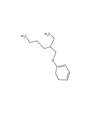 CCCCC(CC)COC1=CC=CCC1